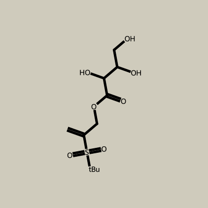 C=C(COC(=O)C(O)C(O)CO)S(=O)(=O)C(C)(C)C